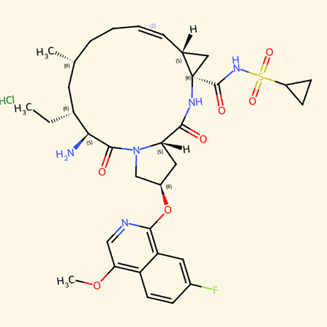 CC[C@@H]1C[C@H](C)CC/C=C\[C@@H]2C[C@@]2(C(=O)NS(=O)(=O)C2CC2)NC(=O)[C@@H]2C[C@@H](Oc3ncc(OC)c4ccc(F)cc34)CN2C(=O)[C@H]1N.Cl